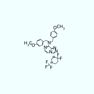 COc1ccc(CN(Cc2ccc(OC)cc2)c2nccn3c([C@H]4C[C@@H](C(F)(F)F)CCC4(F)F)nnc23)cc1